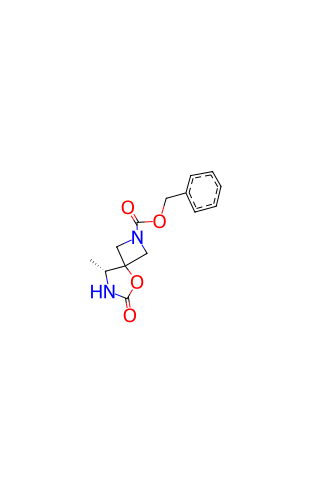 C[C@H]1NC(=O)OC12CN(C(=O)OCc1ccccc1)C2